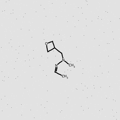 C/C=N\N(C)CC1COC1